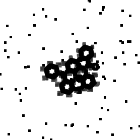 O=c1c2ccccc2c2ccc3c4c2n1-c1cccc2c1P4(=O)c1c(cccc1N3c1ccccc1)S2